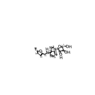 OC[C@H]1O[C@@H](n2cnc3c(NCc4ccc(F)o4)ncnc32)[C@@H](O)[C@@H]1O